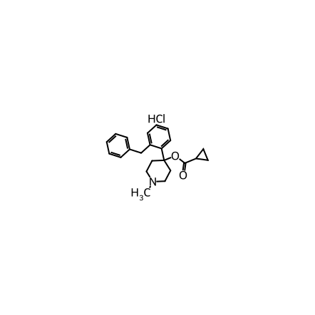 CN1CCC(OC(=O)C2CC2)(c2ccccc2Cc2ccccc2)CC1.Cl